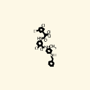 Cc1cc(NCCc2ccccc2)ccc1NC(=O)c1cc(NC(=O)C2C(c3cc(Cl)cc(Cl)c3)C2(Cl)Cl)ccc1Cl